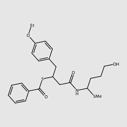 CCOc1ccc(CC(CC(=O)NC(CCCO)SC)SC(=O)c2ccccc2)cc1